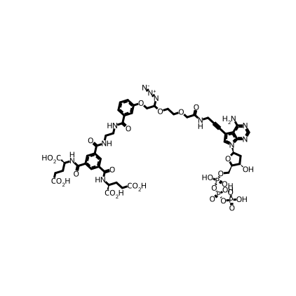 [N-]=[N+]=NC(COc1cccc(C(=O)NCCNC(=O)c2cc(C(=O)N[C@@H](CCC(=O)O)C(=O)O)cc(C(=O)N[C@@H](CCC(=O)O)C(=O)O)c2)c1)OCCOCC(=O)NCC#Cc1cn([C@H]2C[C@H](O)[C@@H](COP(=O)(O)OP(=O)(O)OP(=O)(O)O)O2)c2ncnc(N)c12